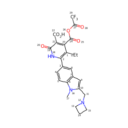 CCc1c(-c2ccc3c(c2)cc(CN2CCC2)n3C)[nH]c(=O)c(C(=O)O)c1C(=O)OC(=O)C(F)(F)F